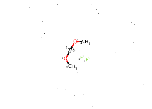 C[O][Zr+2][O]C.[F-].[F-]